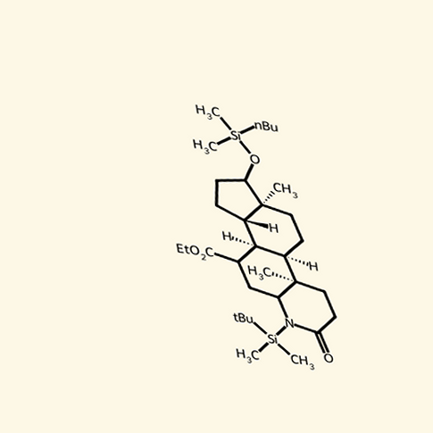 CCCC[Si](C)(C)OC1CC[C@H]2[C@@H]3C(C(=O)OCC)CC4N([Si](C)(C)C(C)(C)C)C(=O)CC[C@]4(C)[C@@H]3CC[C@]12C